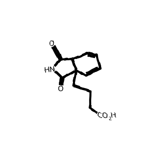 O=C(O)CCCC12C=CC=CC1C(=O)NC2=O